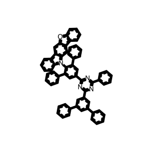 c1ccc(-c2cc(-c3ccccc3)cc(-c3nc(-c4ccccc4)nc(-c4cc(-c5ccccc5)c(-n5c6ccccc6c6cc7oc8ccccc8c7cc65)c(-c5ccccc5)c4)n3)c2)cc1